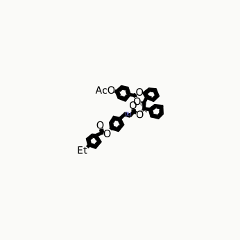 CCc1ccc(C(=O)Oc2ccc(/C=C/C(=O)O[C@H](c3ccccc3)[C@H](OC(=O)c3ccc(OC(C)=O)cc3)c3ccccc3)cc2)cc1